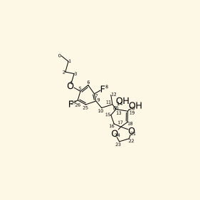 CCCCOc1cc(F)c(CC(C)[C@]2(O)CCC3(C=C2O)OCCO3)cc1F